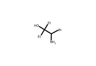 CCC(O)(CC)C(N)C(C)C